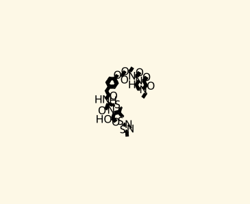 CCN1CCN(C(=O)NC(C)OC(=O)Oc2ccc(CC(=O)NC3C(=O)N4C(C(=O)O)=C(CSc5nnc(C)s5)CS[C@@H]34)cc2)C(=O)C1=O